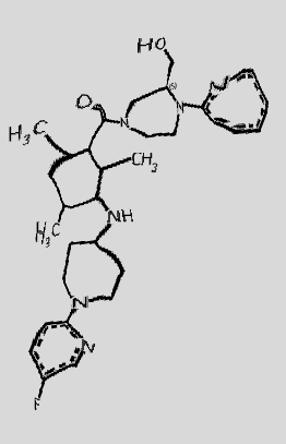 CC1CC(C)C(C(=O)N2CCN(c3ccccn3)[C@H](CO)C2)C(C)C1NC1CCN(c2ccc(F)cn2)CC1